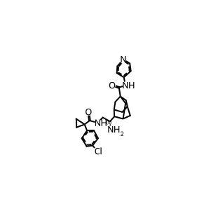 N[C@H](CNC(=O)C1(c2ccc(Cl)cc2)CC1)C1C2CC3CC1CC(C(=O)Nc1ccncc1)(C3)C2